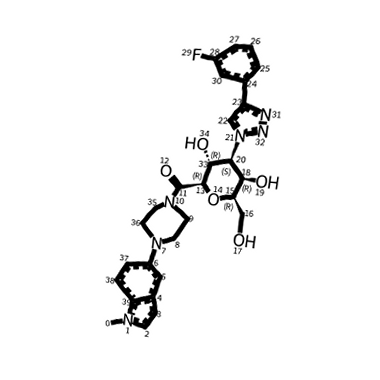 Cn1ccc2cc(N3CCN(C(=O)[C@@H]4O[C@H](CO)[C@H](O)[C@H](n5cc(-c6cccc(F)c6)nn5)[C@H]4O)CC3)ccc21